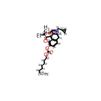 C=C(CC)[C@@H]1Oc2c(OC(=O)OCCCCCCCCCCCCCCCC)ccc3c2[C@@]12CCN(CC1CC1)C(C3)[C@@]2(C)O